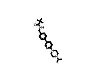 CC(C)N1CCN(c2ccc(-c3ccc(CNC(=O)C(C)(C)C)cc3)cn2)CC1